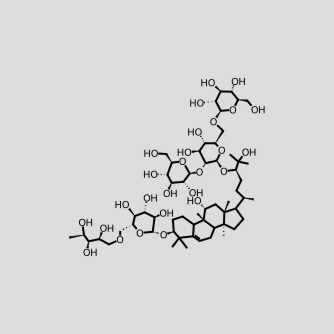 C[C@H](CC[C@@H](O[C@@H]1O[C@H](CO[C@@H]2O[C@H](CO)[C@@H](O)[C@H](O)[C@H]2O)[C@@H](O)[C@H](O)[C@H]1O[C@@H]1O[C@H](CO)[C@@H](O)[C@H](O)[C@H]1O)C(C)(C)O)C1CC[C@@]2(C)C3CC=C4C(CC[C@H](O[C@@H]5O[C@H](COC[C@H](O)[C@@H](O)[C@@H](C)O)[C@@H](O)[C@H](O)[C@H]5O)C4(C)C)[C@]3(C)[C@H](O)C[C@]12C